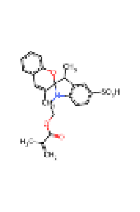 C=C(C)C(=O)OCCN1c2ccc(S(=O)(=O)O)cc2C(C)C12Oc1ccccc1C=C2C